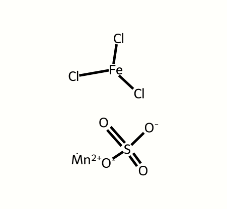 O=S(=O)([O-])[O-].[Cl][Fe]([Cl])[Cl].[Mn+2]